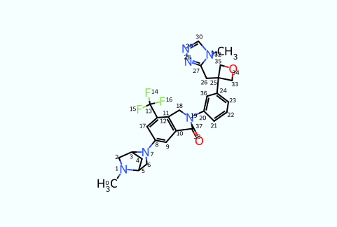 CN1CC2CC1CN2c1cc2c(c(C(F)(F)F)c1)CN(c1cccc(C3(Cc4nncn4C)COC3)c1)C2=O